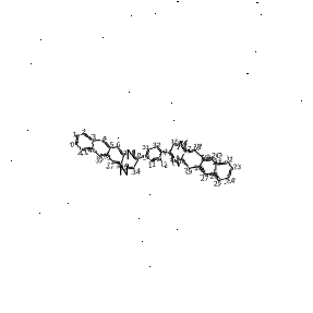 c1ccc2cc3cc4nc(-c5ccc(-c6cnc7cc8cc9ccccc9cc8cc7n6)cc5)cnc4cc3cc2c1